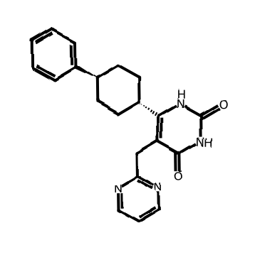 O=c1[nH]c(=O)c(Cc2ncccn2)c([C@H]2CC[C@H](c3ccccc3)CC2)[nH]1